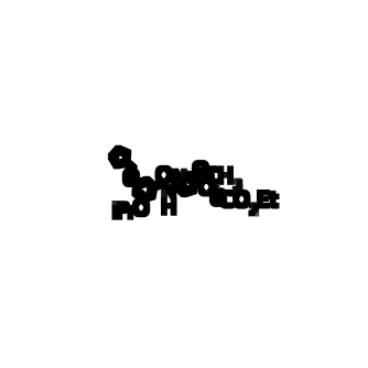 CCOC(=O)OCOP(C)(=O)c1ccc(NC(=O)c2cc(OCC3CCCC3)cc(OC(C)C)c2)nc1